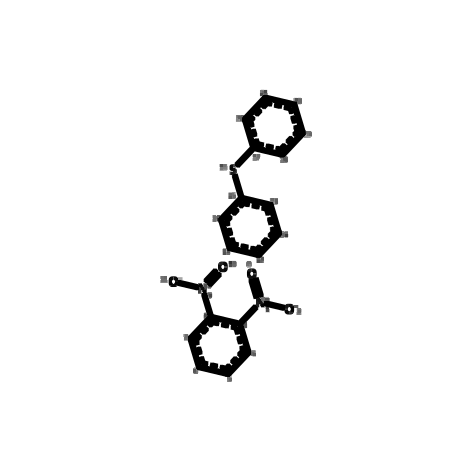 O=[N+]([O-])c1ccccc1[N+](=O)[O-].c1ccc(Sc2ccccc2)cc1